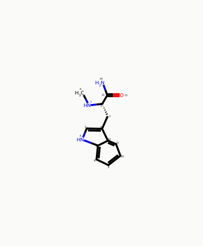 CN[C@@H](Cc1c[nH]c2ccccc12)C(N)=O